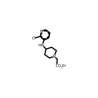 CCOC(=O)CN1CCC(Nc2cccnc2Cl)CC1